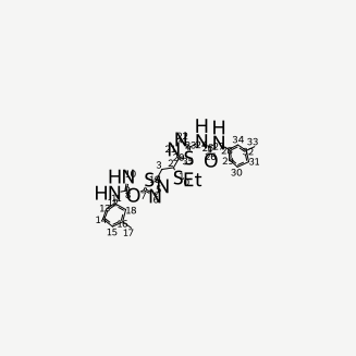 CCSC(Cc1nnc(OC(=N)Nc2cccc(C)c2)s1)c1nnc(NC(=O)Nc2cccc(C)c2)s1